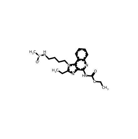 CCOC(=O)Nc1nc2ccccc2c2c1nc(CC)n2CCCCN[S+](C)[O-]